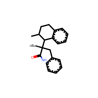 CCCCC(Cc1ccccc1)(C(N)=O)C1c2ccccc2CCC1C